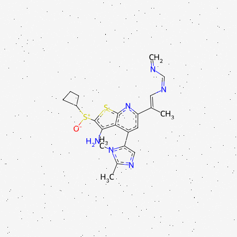 C=N/C=N\C=C(/C)c1cc(-c2cnc(C)n2C)c2c(N)c([S+]([O-])C3CCC3)sc2n1